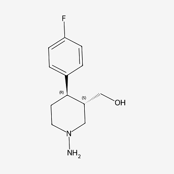 NN1CC[C@@H](c2ccc(F)cc2)[C@H](CO)C1